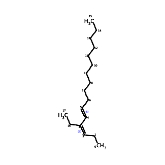 CC/[C]=C(\C=C\CCCCCCCCCC)CC